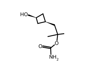 CC(C)(C[C@H]1C[C@@H](O)C1)OC(N)=O